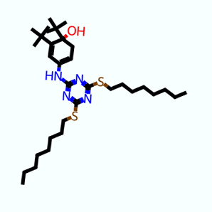 CCCCCCCCSc1nc(NC2=CCC(O)(C(C)(C)C)C(C(C)(C)C)=C2)nc(SCCCCCCCC)n1